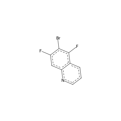 Fc1cc2ncccc2c(F)c1Br